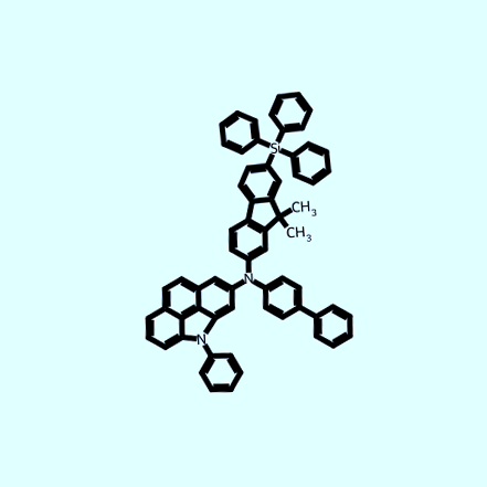 CC1(C)c2cc(N(c3ccc(-c4ccccc4)cc3)c3cc4ccc5cccc6c5c4c(c3)n6-c3ccccc3)ccc2-c2ccc([Si](c3ccccc3)(c3ccccc3)c3ccccc3)cc21